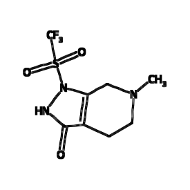 CN1CCc2c(n(S(=O)(=O)C(F)(F)F)[nH]c2=O)C1